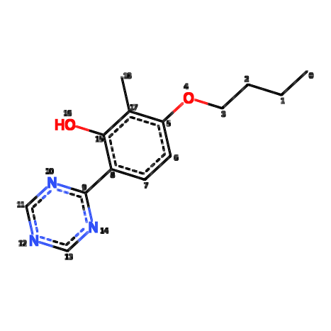 CCCCOc1ccc(-c2ncncn2)c(O)c1C